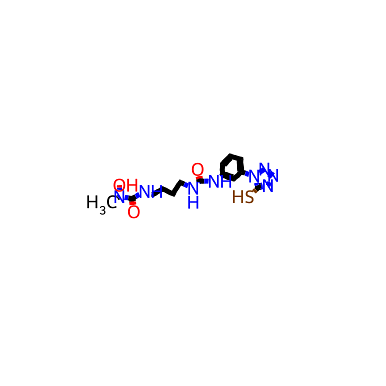 CN(O)C(=O)NCCCCNC(=O)Nc1cccc(-n2nnnc2S)c1